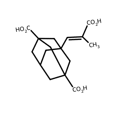 CC(=CC12CC3CC(C(=O)O)(C1)CC(C(=O)O)(C3)C2)C(=O)O